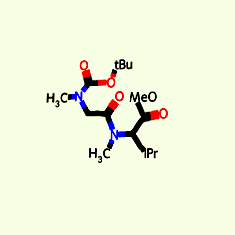 COC(=O)C(C(C)C)N(C)C(=O)CN(C)C(=O)OC(C)(C)C